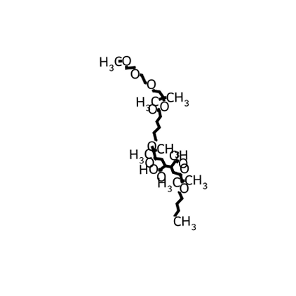 CCCCCCOC(C)(C)C(=O)CC(C(=O)O)C(CC(=O)C(C)(C)OCCCCCC(=O)OC(C)(C)CCOCCOCCOC)C(=O)O